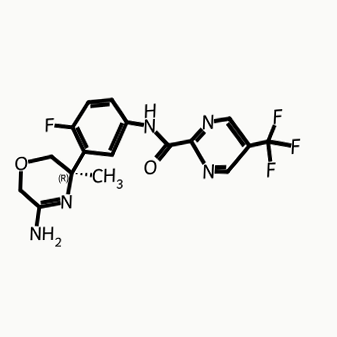 C[C@@]1(c2cc(NC(=O)c3ncc(C(F)(F)F)cn3)ccc2F)COCC(N)=N1